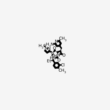 CC[C@@H](NC(=O)N1C(=O)[C@H](Cc2cc(C)nc(N)c2)[C@H]1C(=O)N(C)c1ccn(C)n1)c1ccc(C)c(Cl)c1